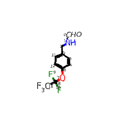 O=CNCc1ccc(OC(F)(F)C(F)(F)F)cc1